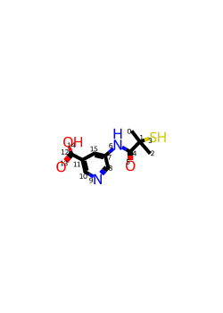 CC(C)(S)C(=O)Nc1cncc(C(=O)O)c1